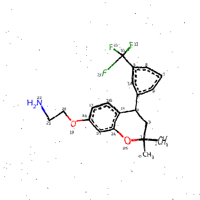 CC1(C)CC(c2cccc(C(F)(F)F)c2)c2ccc(OCCN)cc2O1